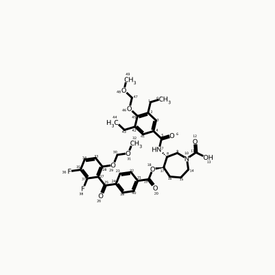 CCc1cc(C(=O)N[C@@H]2CN(C(=O)O)CCC[C@H]2OC(=O)c2ccc(C(=O)c3c(OCOC)ccc(F)c3F)cc2)cc(CC)c1OCOC